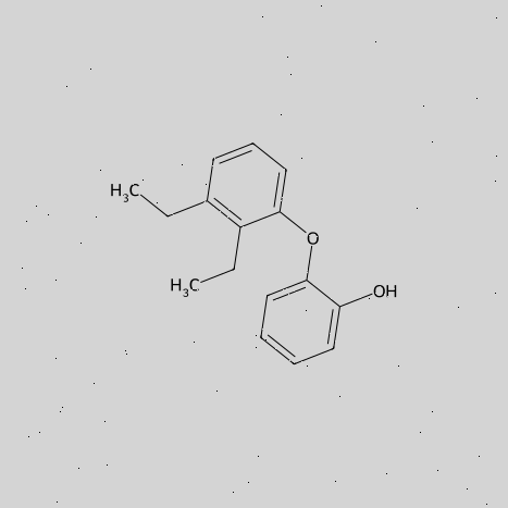 CCc1cccc(Oc2ccccc2O)c1CC